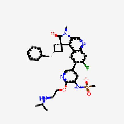 CC(C)NCCOc1ncc(-c2cc3c(cc2F)ncc2c3[C@]3(C[C@@H](Cc4ccccc4)C3)C(=O)N2C)cc1NS(C)(=O)=O